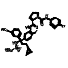 CC(C)(C)[S@@+]([O-])NC(CCC1CC1)(c1cccc(C#N)c1)c1ccc(F)c(NC(=O)[C@H]2CCCN2C(=O)Nc2ccc(Cl)cc2)c1